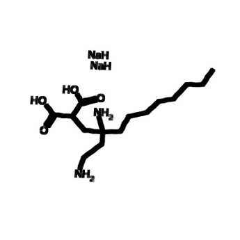 CCCCCCCCC(N)(CCN)CC(C(=O)O)C(=O)O.[NaH].[NaH]